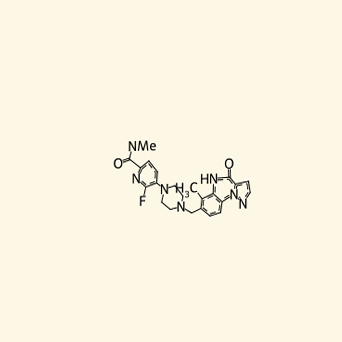 CNC(=O)c1ccc(N2CCN(Cc3ccc4c([nH]c(=O)c5ccnn54)c3C)CC2)c(F)n1